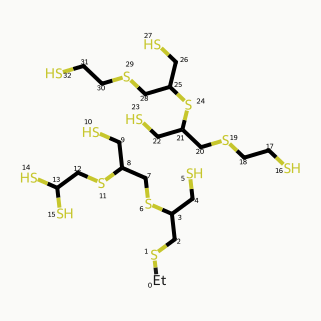 CCSCC(CS)SCC(CS)SCC(S)S.SCCSCC(CS)SC(CS)CSCCS